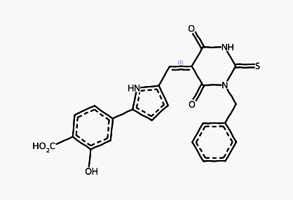 O=C1NC(=S)N(Cc2ccccc2)C(=O)/C1=C\c1ccc(-c2ccc(C(=O)O)c(O)c2)[nH]1